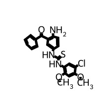 COc1cc(OC)c(NC(=S)Nc2ccc(N)c(C(=O)c3ccccc3)c2)cc1Cl